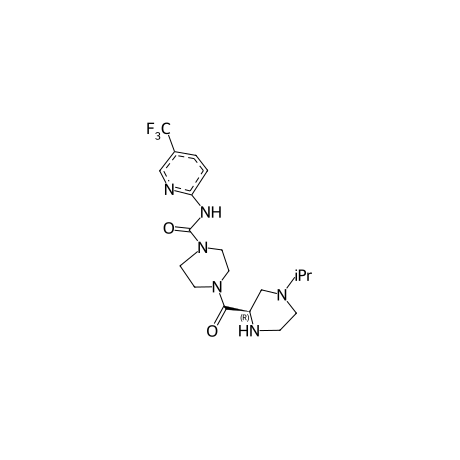 CC(C)N1CCN[C@@H](C(=O)N2CCN(C(=O)Nc3ccc(C(F)(F)F)cn3)CC2)C1